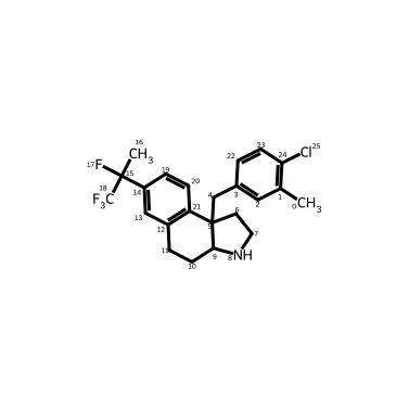 Cc1cc(CC23CCNC2CCc2cc(C(C)(F)C(F)(F)F)ccc23)ccc1Cl